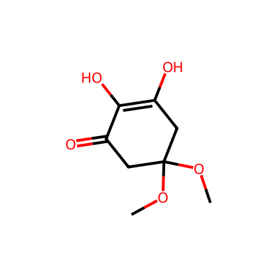 COC1(OC)CC(=O)C(O)=C(O)C1